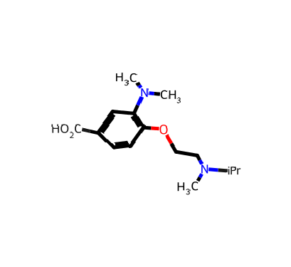 CC(C)N(C)CCOc1ccc(C(=O)O)cc1N(C)C